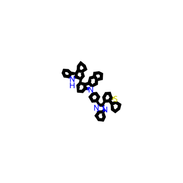 c1ccc2cc3c(cc2c1)c1c(-c2cc4ccccc4c4c2[nH]c2ccccc24)cccc1n3-c1ccc(-c2nc3ccccc3nc2-c2cccc3sc4ccccc4c23)cc1